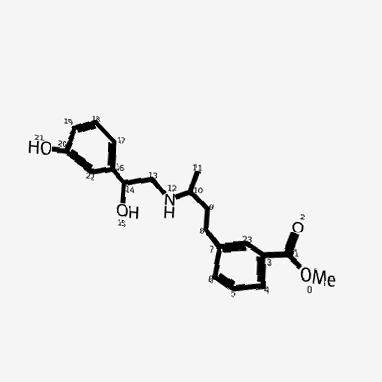 COC(=O)c1cccc(CCC(C)NCC(O)c2cccc(O)c2)c1